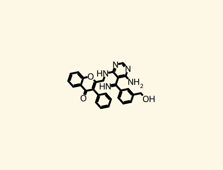 N=C(c1cccc(CO)c1)c1c(N)ncnc1NCc1oc2ccccc2c(=O)c1-c1ccccc1